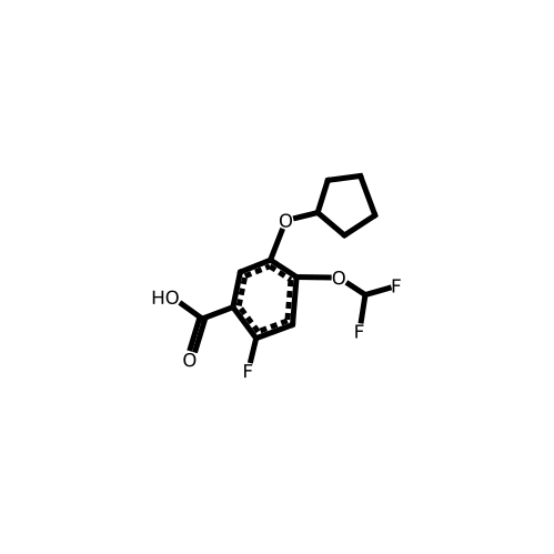 O=C(O)c1cc(OC2CCCC2)c(OC(F)F)cc1F